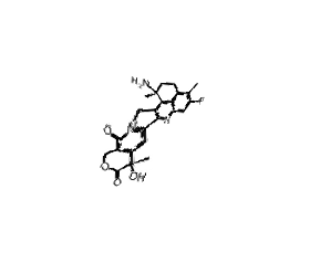 Cc1c(F)cc2nc3c(c4c2c1CC[C@@]4(C)N)Cn1c-3cc2c(c1=O)COC(=O)[C@@]2(C)O